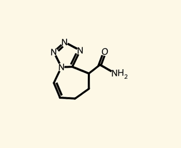 NC(=O)C1CCC=Cn2nnnc21